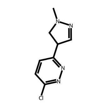 CN1CC(c2ccc(Cl)nn2)C=N1